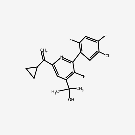 C=C(c1cc(C(C)(C)O)c(F)c(-c2cc(Cl)c(F)cc2F)n1)C1CC1